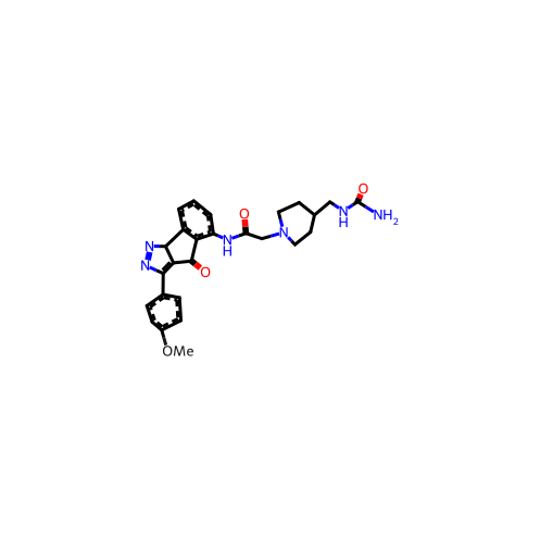 COc1ccc(C2=C3C(=O)c4c(NC(=O)CN5CCC(CNC(N)=O)CC5)cccc4C3N=N2)cc1